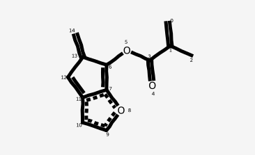 C=C(C)C(=O)OC1=c2occc2=CC1=C